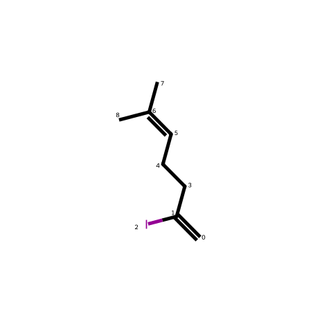 C=C(I)CCC=C(C)C